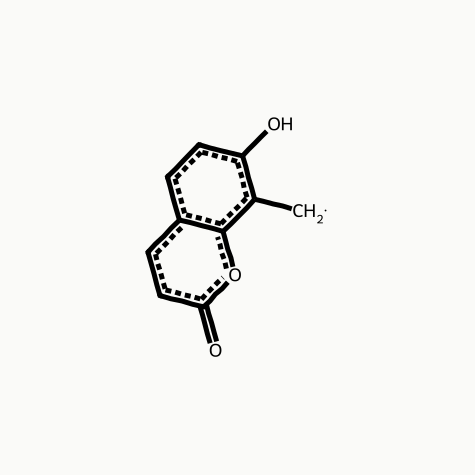 [CH2]c1c(O)ccc2ccc(=O)oc12